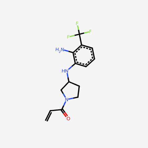 C=CC(=O)N1CCC(Nc2cccc(C(F)(F)F)c2N)C1